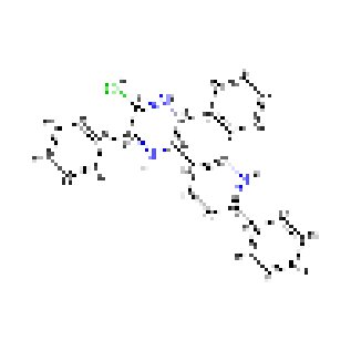 Clc1nc(-c2ccccc2)c(-c2ccc(-c3ccccc3)nc2)nc1-c1ccccc1